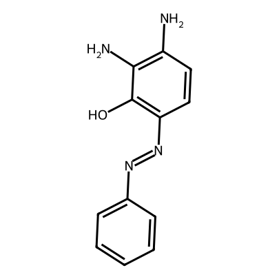 Nc1ccc(N=Nc2ccccc2)c(O)c1N